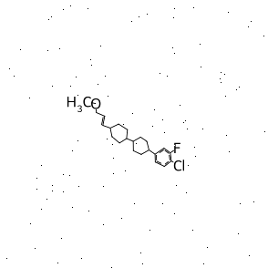 COCC=CC1CCC(C2CCC(c3ccc(Cl)c(F)c3)CC2)CC1